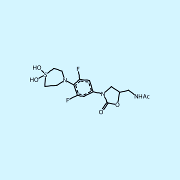 CC(=O)NCC1CN(c2cc(F)c(N3CCS(O)(O)CC3)c(F)c2)C(=O)O1